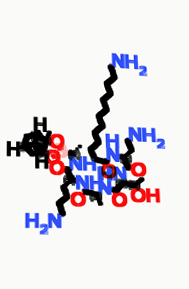 C[C@H](NC(=O)[C@H](CCCCN)NC(=O)[C@H](C)NC(=O)[C@@H](NC(=O)[C@H](CCN)NC(=O)CCCCCCCCCCCCN)[C@@H](C)O)B1O[C@@H]2C[C@@H]3C[C@@H](C3(C)C)[C@]2(C)O1